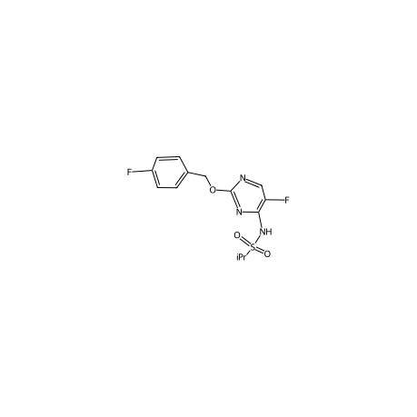 CC(C)S(=O)(=O)Nc1nc(OCc2ccc(F)cc2)ncc1F